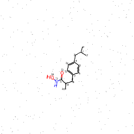 CC(C)Cc1ccc(CC(C)C(=O)NO)cc1